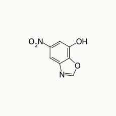 O=[N+]([O-])c1cc(O)c2ocnc2c1